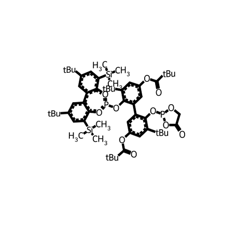 CC(C)(C)C(=O)Oc1cc(-c2cc(OC(=O)C(C)(C)C)cc(C(C)(C)C)c2Op2oc3c([Si](C)(C)C)cc(C(C)(C)C)cc3c3cc(C(C)(C)C)cc([Si](C)(C)C)c3o2)c(OP2OCC(=O)O2)c(C(C)(C)C)c1